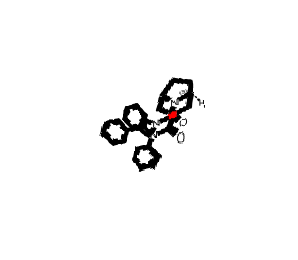 O=C(N1CC2CC[C@@H](C1)N2C(=O)N1CC(c2ccccc2)C1)N(c1ccccc1)c1ccccc1